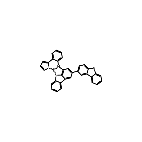 c1ccc2c(c1)-c1cccn1B1N2c2cc(-c3ccc4sc5ccccc5c4c3)cc3c4ccccc4n1c23